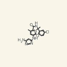 Cc1cc(Nc2cc(N)ncn2)c(=O)n2c1C(=O)NC2(C)c1cccc(Cl)c1